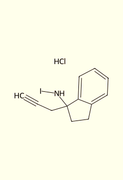 C#CCC1(NI)CCc2ccccc21.Cl